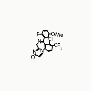 COc1ccc(F)c(C2=NCc3nc(=O)ccn3-c3ccc(C(F)(F)F)c(Cl)c32)c1